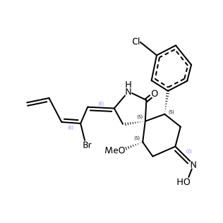 C=C/C=C(Br)\C=C1/C[C@@]2(C(=O)N1)[C@@H](OC)C/C(=N\O)C[C@H]2c1cccc(Cl)c1